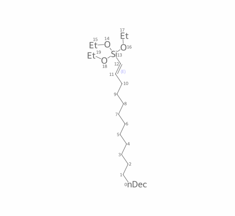 CCCCCCCCCCCCCCCCCCCC/C=C/[Si](OCC)(OCC)OCC